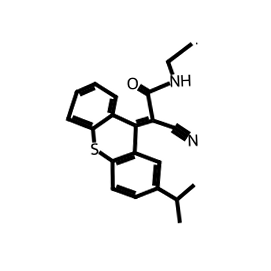 [CH2]CNC(=O)/C(C#N)=C1\c2ccccc2Sc2ccc(C(C)C)cc21